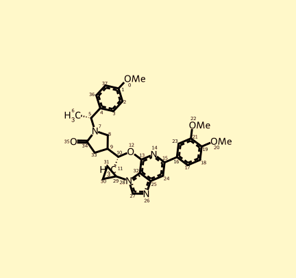 COc1ccc([C@@H](C)N2CC([C@@H](C)Oc3nc(-c4ccc(OC)c(OC)c4)cc4ncn(C5CC5)c34)CC2=O)cc1